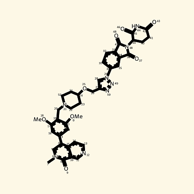 COc1cc(-c2cn(C)c(=O)c3cnccc23)cc(OC)c1CN1CCC(OCc2cn(-c3ccc4c(c3)C(=O)N(C3CCC(=O)NC3=O)C4=O)nn2)CC1